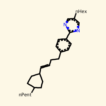 CCCCCCc1cnc(-c2ccc(CCC=CC3CCC(CCCCC)CC3)cc2)nc1